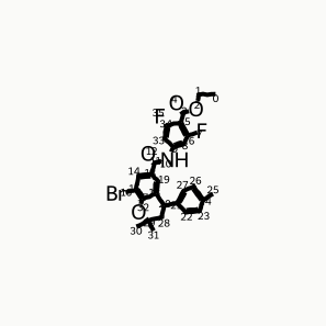 CCOC(=O)c1c(F)cc(NC(=O)c2cc(Br)c3c(c2)C(c2ccc(C)cc2)CC(C)(C)O3)cc1F